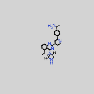 CCc1cccc2nc(-c3ccnc(-c4ccc([C@H](C)N)cc4)c3)nc(N3C[C@@H]4C[C@H]3CN4)c12